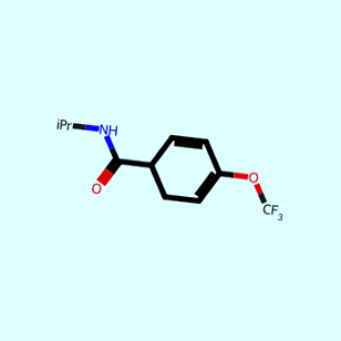 CC(C)NC(=O)C1C=CC(OC(F)(F)F)=CC1